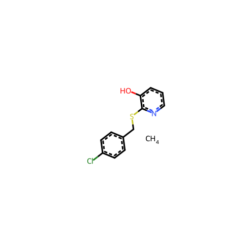 C.Oc1cccnc1SCc1ccc(Cl)cc1